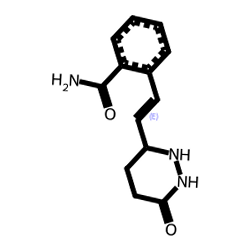 NC(=O)c1ccccc1/C=C/C1CCC(=O)NN1